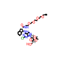 C#CCOCCOCCOCCOCCNC(=O)[C@H]1Cc2ccccc2[C@H]1Nc1nc(Cl)nc2c1cnn2[C@@H]1O[C@H](CO)[C@H]2OC(C)(C)O[C@H]21